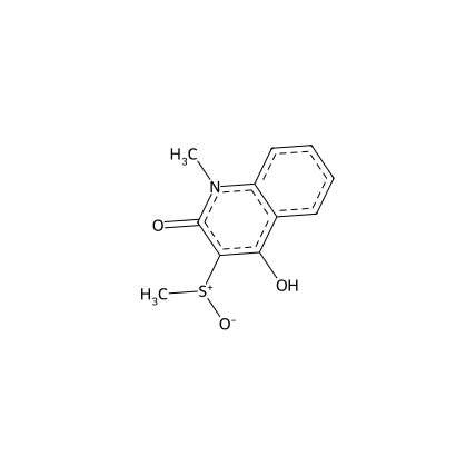 Cn1c(=O)c([S+](C)[O-])c(O)c2ccccc21